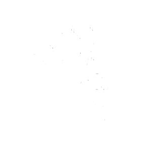 CNc1cc(Nc2cccn(-c3ccc(OC)cn3)c2=O)nc2c(C(=O)NC3CC3)cnn12